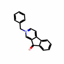 O=C1c2ccccc2-c2cc[n+](Cc3ccccc3)cc21